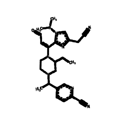 CCC1CN(C(C)c2ccc(C#N)nc2)CCN1/C(=C/C=O)c1nc(CC#N)cn1N(C)C